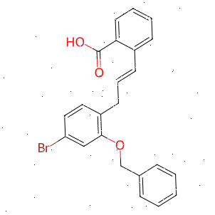 O=C(O)c1ccccc1C=CCc1ccc(Br)cc1OCc1ccccc1